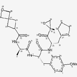 COc1ccc(C[C@H](NC(=O)[C@@H](C)NC(=O)C2CC3(COC3)C2)C(=O)N[C@@H](CC2=CCCC2)C(=O)[C@@]2(C)CO2)cc1